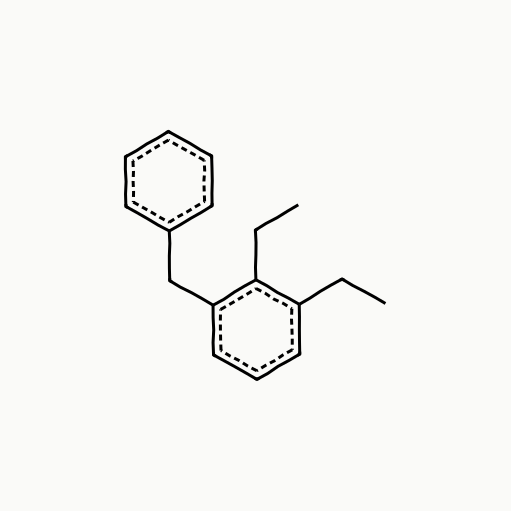 CCc1cccc(Cc2ccccc2)c1CC